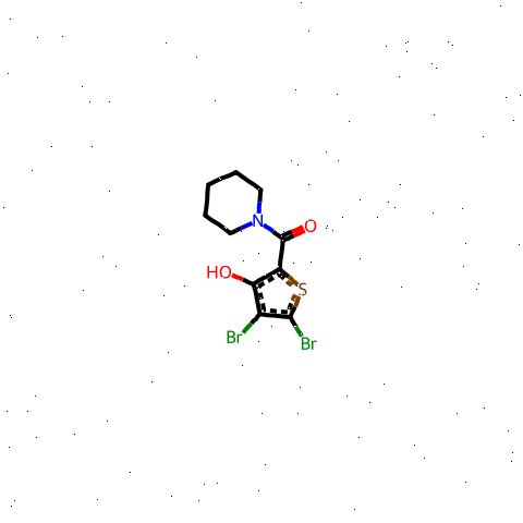 O=C(c1sc(Br)c(Br)c1O)N1CCCCC1